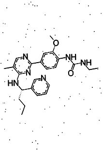 CCC[C@H](Nc1nc(-c2ccc(NC(=O)NCC)c(OC)c2)ncc1C)c1cccnc1